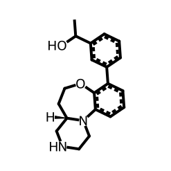 CC(O)c1cccc(-c2cccc3c2OCC[C@H]2CNCCN32)c1